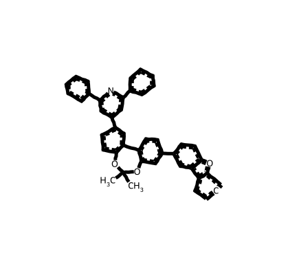 CC1(C)Oc2cc(-c3ccc4oc5ccccc5c4c3)ccc2-c2cc(-c3cc(-c4ccccc4)nc(-c4ccccc4)c3)ccc2O1